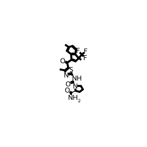 Cc1ccc2c(c1)C(C(=O)c1sc(NC(=O)N3CCC[C@H]3C(N)=O)nc1C)=CC2(C)C(F)(F)F